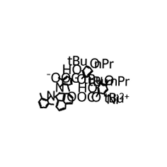 CCCOc1cc(C(C)(C)C)c(OC(=O)[O-])c(O)c1C(C)(C)C.CCCOc1cc(C(C)(C)C)c(OC(=O)[O-])c(O)c1C(C)(C)C.Cc1cccc(C)c1N=C1C(=Nc2c(C)cccc2C)c2cccc3cccc1c23.[Ni+2]